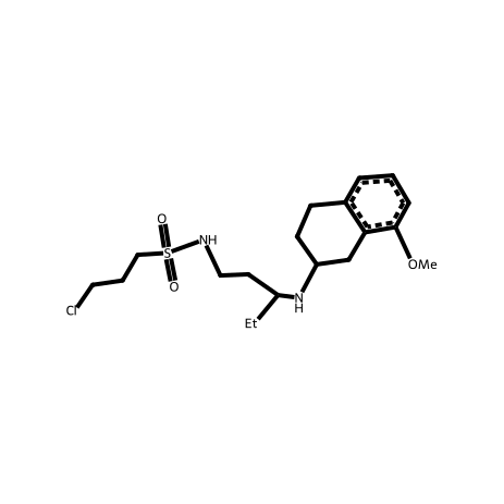 CCC(CCNS(=O)(=O)CCCCl)NC1CCc2cccc(OC)c2C1